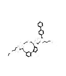 CC(=O)OCC(=O)[C@H](C)NC(=O)C1Cc2ccc(O)c(c2)-c2cc(ccc2O)[C@H](N(C)C(=O)[C@H](CCCCN)NC(=O)c2ccc(-c3ccc(Cl)cc3)cc2)C(=O)N[C@@H](C)C(=O)N1